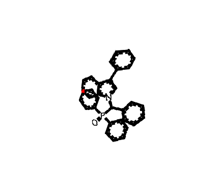 O=P(c1ccccc1)(c1ccccc1)C(c1ccccc1)n1cc(-c2ccccc2)c2ccccc21